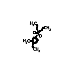 C=CCN(CC=C)S(=O)(=O)c1ccc(C=C)c(C)c1